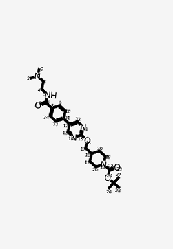 CN(C)CCNC(=O)c1ccc(-c2cnc(OCC3CCN(C(=O)OC(C)(C)C)CC3)nc2)cc1